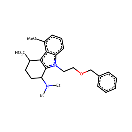 CCN(CC)C1CCC(C(=O)O)c2c1n(CCOCc1ccccc1)c1cccc(OC)c21